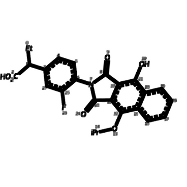 CCC(C(=O)O)c1ccc(N2C(=O)c3c(c(OC(C)C)c4ccccc4c3O)C2=O)c(F)c1